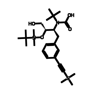 CC(C)(C)N(C(=O)O)[C@@H](Cc1cccc(C#C[Si](C)(C)C)c1)[C@@H](CO)O[Si](C)(C)C(C)(C)C